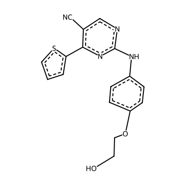 N#Cc1cnc(Nc2ccc(OCCO)cc2)nc1-c1cccs1